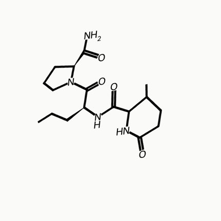 CCC[C@H](NC(=O)C1NC(=O)CCC1C)C(=O)N1CCC[C@H]1C(N)=O